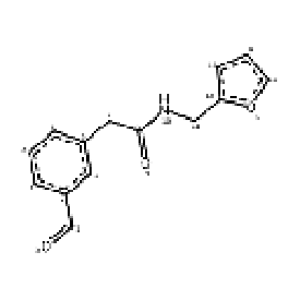 O=Cc1cccc(CC(=O)NCc2ccco2)c1